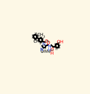 CO/N=C1\CC(C(=O)NCC(O)c2cccc(O)c2)N(C(=O)c2ccc(-c3c(C)cccc3C)cc2)C1